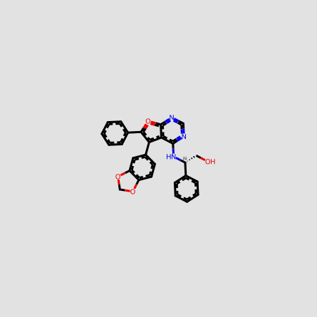 OC[C@@H](Nc1ncnc2oc(-c3ccccc3)c(-c3ccc4c(c3)OCO4)c12)c1ccccc1